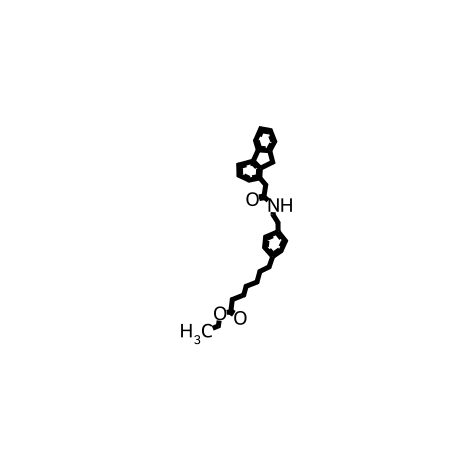 CCOC(=O)CCCCCCc1ccc(CCNC(=O)Cc2cccc3c2Cc2ccccc2-3)cc1